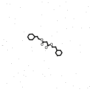 O=C(CC(=O)OCCC1CCCCC1)OCCC1CCCCC1